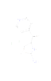 Cl.Cl.NC1=NC(C(S)c2ccncc2)CS1